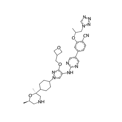 CC(Cn1cnnn1)Oc1cc(-c2cnc(Nc3cn(C4CCC([C@@]5(C)CNC[C@@H](C)O5)CC4)nc3OCC3COC3)nc2)ccc1C#N